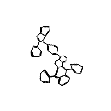 c1ccc(-c2c3ccccc3c(-c3ccccc3)c3c2ccc2c(-c4ccc(-n5c(-c6ccccc6)nc6ccccc65)cc4)cccc23)cc1